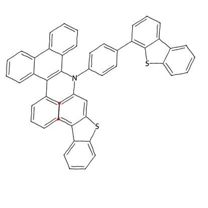 c1ccc(-c2c(N(c3ccc(-c4cccc5c4sc4ccccc45)cc3)c3ccc4c(c3)sc3ccccc34)c3ccccc3c3ccccc23)cc1